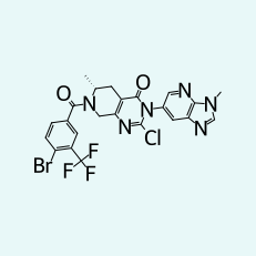 C[C@@H]1Cc2c(nc(Cl)n(-c3cnc4c(c3)ncn4C)c2=O)CN1C(=O)c1ccc(Br)c(C(F)(F)F)c1